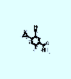 N#Cc1cc(C(N)=O)c(F)cc1C1CC1